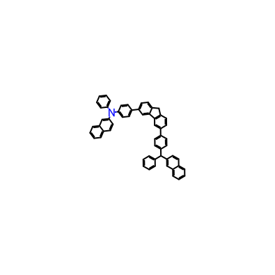 c1ccc(C(c2ccc(-c3ccc4c(c3)-c3cc(-c5ccc(N(c6ccccc6)c6ccc7ccccc7c6)cc5)ccc3C4)cc2)c2ccc3ccccc3c2)cc1